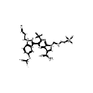 CC(C)(C)c1nc2c(nc1-c1nn(CCC=O)c3ccc(OC(F)F)cc13)c(C(N)=O)cn2COCC[Si](C)(C)C